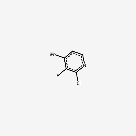 CC(C)c1ccnc(Cl)c1F